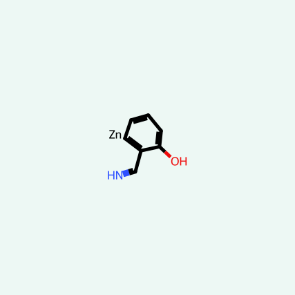 N=Cc1ccccc1O.[Zn]